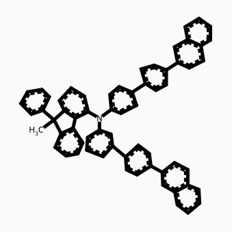 CC1(c2ccccc2)c2ccccc2-c2c(N(c3ccc(-c4ccc(-c5ccc6ccccc6c5)cc4)cc3)c3cccc(-c4ccc(-c5ccc6ccccc6c5)cc4)c3)cccc21